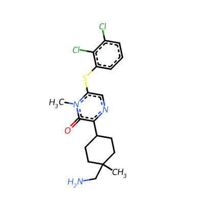 Cn1c(Sc2cccc(Cl)c2Cl)cnc(C2CCC(C)(CN)CC2)c1=O